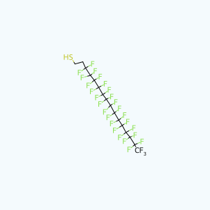 FC(F)(F)C(F)(F)C(F)(F)C(F)(F)C(F)(F)C(F)(F)C(F)(F)C(F)(F)C(F)(F)C(F)(F)C(F)(F)C(F)(F)C(F)(F)C(F)(F)CCS